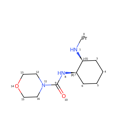 CC(C)N[C@H]1CCCC[C@H]1NC(=O)N1CCOCC1